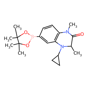 CC1C(=O)N(C)c2ccc(B3OC(C)(C)C(C)(C)O3)cc2N1C1CC1